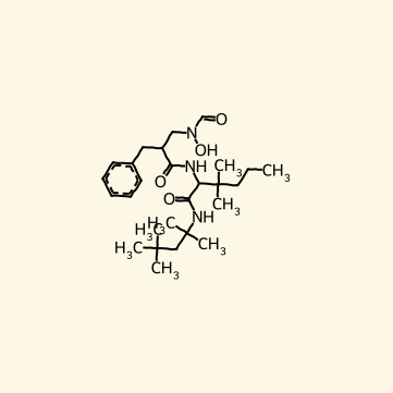 CCCC(C)(C)C(NC(=O)C(Cc1ccccc1)CN(O)C=O)C(=O)NC(C)(C)CC(C)(C)C